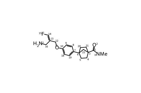 CNC(=O)C12CCC(c3ccc(OCC(=CF)CN)cc3)(CC1)C2